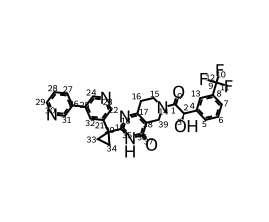 O=C([C@H](O)c1cccc(C(F)(F)F)c1)N1CCc2nc(C3(c4cncc(-c5cccnc5)c4)CC3)[nH]c(=O)c2C1